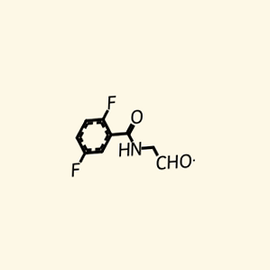 O=[C]CNC(=O)c1cc(F)ccc1F